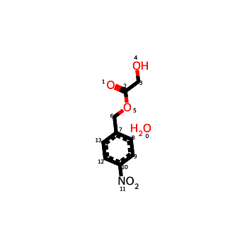 O.O=C(CO)OCc1ccc([N+](=O)[O-])cc1